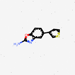 Nc1nc2cc(-c3ccsc3)ccc2o1